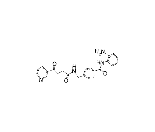 Nc1ccccc1NC(=O)c1ccc(CNC(=O)CCC(=O)c2cccnc2)cc1